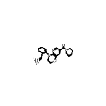 C=Cc1ccccc1N1CCOc2cc(C(=O)N3CCCCC3)cnc21